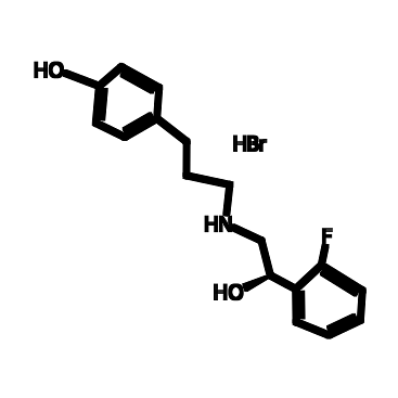 Br.Oc1ccc(CCCNC[C@H](O)c2ccccc2F)cc1